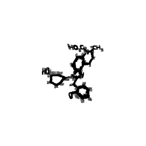 CC1CCc2c(ccc3c2nc(Cn2ccccc2=O)n3[C@@H]2CCC[C@H](O)C2)N1C(=O)O